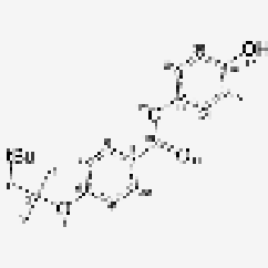 CC(C)(C)CC(C)(C)Oc1ccc(C(=O)Oc2ccc(O)cc2)cc1